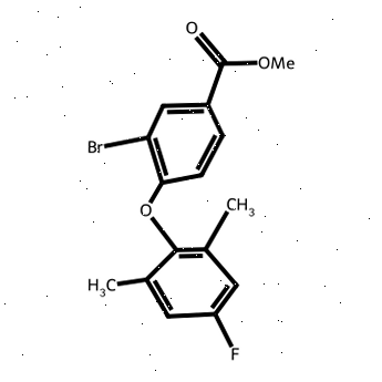 COC(=O)c1ccc(Oc2c(C)cc(F)cc2C)c(Br)c1